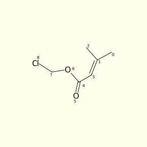 CC(C)=CC(=O)OCCl